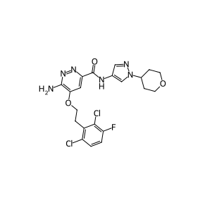 Nc1nnc(C(=O)Nc2cnn(C3CCOCC3)c2)cc1OCCc1c(Cl)ccc(F)c1Cl